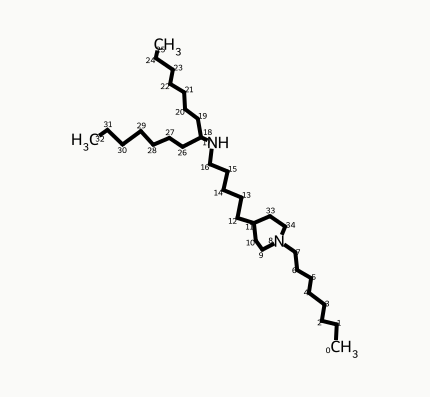 CCCCCCCCN1CCC(CCCCCNC(CCCCCCC)CCCCCCC)CC1